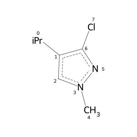 CC(C)c1cn(C)nc1Cl